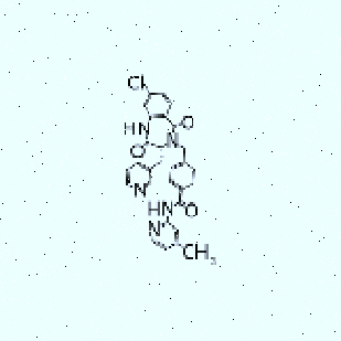 Cc1ccnc(NC(=O)c2ccc(CN3C(=O)c4ccc(Cl)cc4NC(=O)[C@H]3Cc3cccnc3)cc2)c1